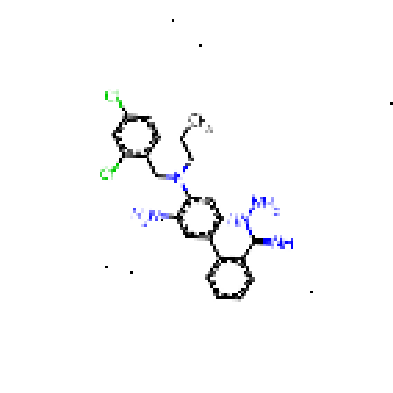 N=C(NN)c1ccccc1-c1ccc(N(CCC(F)(F)F)Cc2ccc(Cl)cc2Cl)c(N)c1